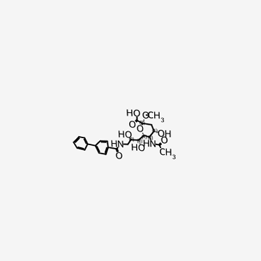 CO[C@]1(C(=O)O)C[C@H](O)[C@@H](NC(C)=O)[C@H]([C@H](O)[C@H](O)CNC(=O)c2ccc(-c3ccccc3)cc2)O1